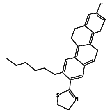 [CH2]C1=CCC2=C3CC=c4cc(C5=NCCS5)c(CCCCCC)cc4=C3CCC2=C1